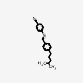 CC(C)CCCc1ccc(C=Nc2ccc(C#N)cc2)cc1